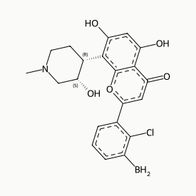 Bc1cccc(-c2cc(=O)c3c(O)cc(O)c([C@H]4CCN(C)C[C@H]4O)c3o2)c1Cl